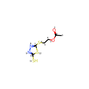 CC(=O)OCCSc1nnc(S)s1